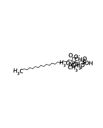 CCCCCCCCCCCCCCCCCCC(C(=O)[O-])(C(C)(C)CCS(=O)(=O)O)[N+](C)(C)C